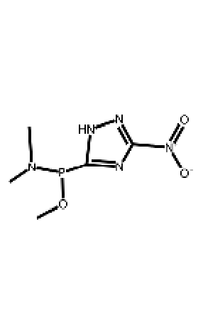 COP(c1nc([N+](=O)[O-])n[nH]1)N(C)C